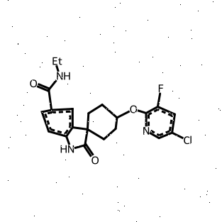 CCNC(=O)c1ccc2c(c1)C1(CCC(Oc3ncc(Cl)cc3F)CC1)C(=O)N2